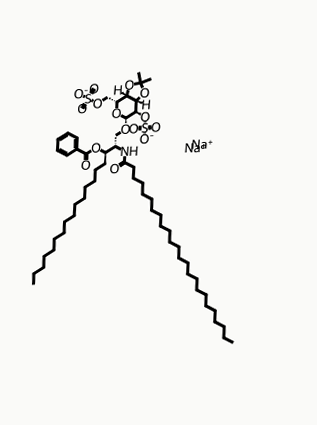 CCCCCCCCCCCCCCCCCCCCCCCC(=O)N[C@@H](CO[C@@H]1O[C@H](COS(=O)(=O)[O-])[C@@H]2OC(C)(C)O[C@@H]2[C@H]1OS(=O)(=O)[O-])[C@@H](CCCCCCCCCCCCCCC)OC(=O)c1ccccc1.[Na+].[Na+]